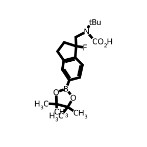 CC(C)(C)N(CC1(F)CCc2cc(B3OC(C)(C)C(C)(C)O3)ccc21)C(=O)O